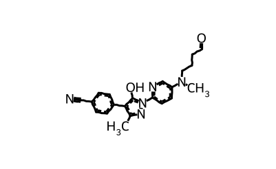 Cc1nn(-c2ccc(N(C)CCCC=O)cn2)c(O)c1-c1ccc(C#N)cc1